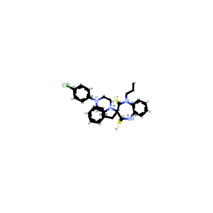 CCCN1C(=S)C(Cc2ccccc2)(N2CCN(c3ccc(Cl)cc3)CC2)C(=S)Nc2ccccc21